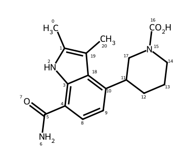 Cc1[nH]c2c(C(N)=O)ccc(C3CCCN(C(=O)O)C3)c2c1C